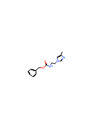 Cc1cn(CCNC(=O)OCc2ccccc2)cn1